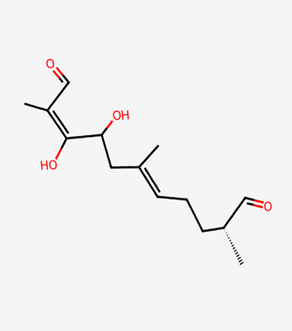 C/C(=C\CC[C@@H](C)C=O)CC(O)/C(O)=C(/C)C=O